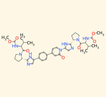 COC(=O)NC(C(=O)N1CCC[C@H]1c1ncc(-n2ccc(-c3ccc(-c4cnc([C@@H]5CCCN5C(=O)[C@@H](NC(=O)OC)C(C)C)[nH]4)cc3)cc2=O)[nH]1)C(C)C